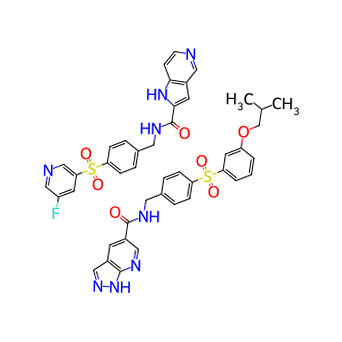 CC(C)COc1cccc(S(=O)(=O)c2ccc(CNC(=O)c3cnc4[nH]ncc4c3)cc2)c1.O=C(NCc1ccc(S(=O)(=O)c2cncc(F)c2)cc1)c1cc2cnccc2[nH]1